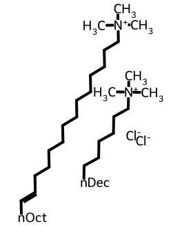 CCCCCCCCC=CCCCCCCCCCCCC[N+](C)(C)C.CCCCCCCCCCCCCCCC[N+](C)(C)C.[Cl-].[Cl-]